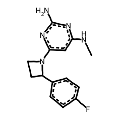 CNc1cc(N2CCC2c2ccc(F)cc2)nc(N)n1